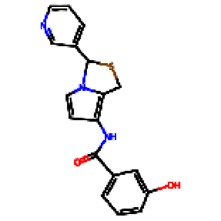 O=C(Nc1ccn2c1CSC2c1cccnc1)c1cccc(O)c1